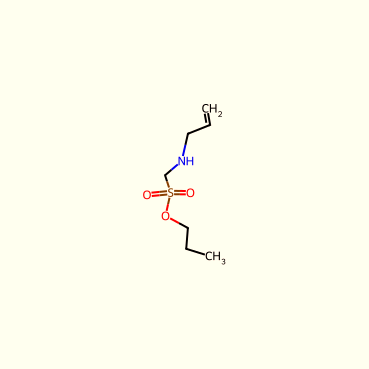 C=CCNCS(=O)(=O)OCCC